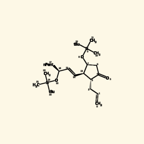 C=CC[C@H]1C(=O)CC(O[Si](C)(C)C(C)(C)C)[C@@H]1C=C[C@H](CCCCC)O[Si](C)(C)C(C)(C)C